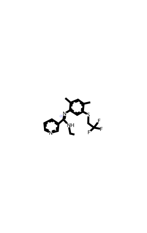 CCN/C(=N\c1cc(SCC(F)(F)F)c(C)cc1C)c1cccnc1